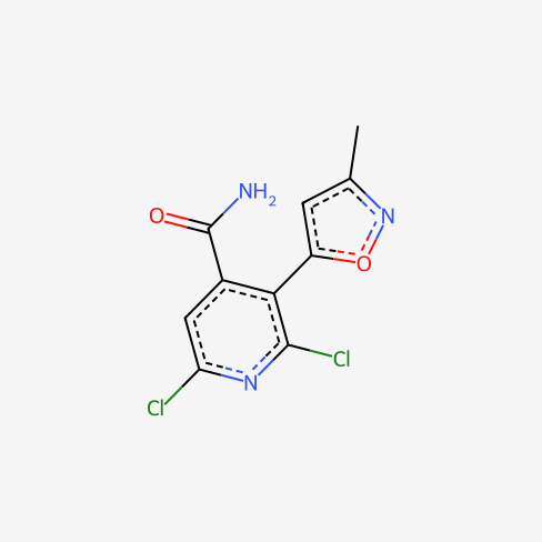 Cc1cc(-c2c(C(N)=O)cc(Cl)nc2Cl)on1